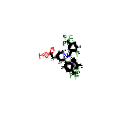 C=C(C)C#C[C@@H](c1cc(C(F)(F)F)ccc1F)N1CC[C@H](CC(=O)O)C[C@@H]1c1ccc(C(F)(F)F)cc1